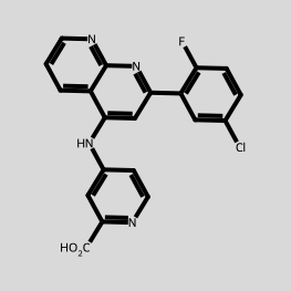 O=C(O)c1cc(Nc2cc(-c3cc(Cl)ccc3F)nc3ncccc23)ccn1